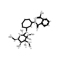 [2H]O[C@@]1([2H])[C@]([2H])(SC2CCCCC(NC(=O)c3ccccc3C(=O)O)C2)O[C@H](CO)[C@H](O)[C@]1([2H])O[2H]